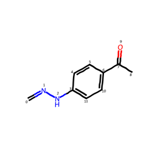 C=NNc1ccc(C(C)=O)cc1